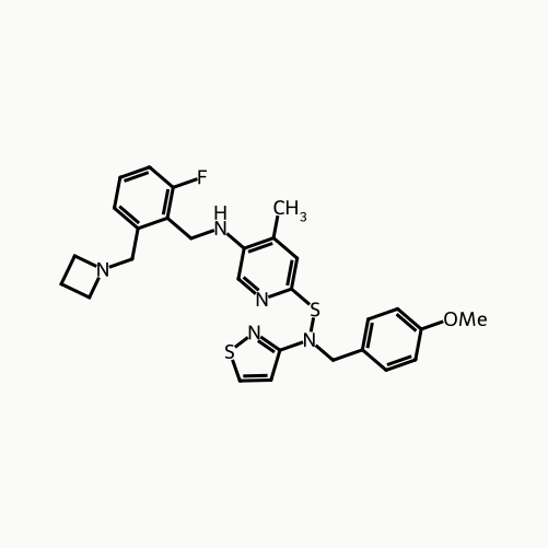 COc1ccc(CN(Sc2cc(C)c(NCc3c(F)cccc3CN3CCC3)cn2)c2ccsn2)cc1